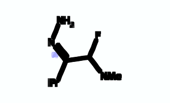 CNC(F)/C(=N\N)C(C)C